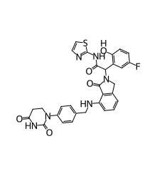 O=C1CCN(c2ccc(CNc3cccc4c3C(=O)N(C(C(=O)Nc3nccs3)c3cc(F)ccc3O)C4)cc2)C(=O)N1